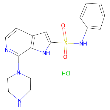 Cl.O=S(=O)(Nc1ccccc1)c1cc2ccnc(N3CCNCC3)c2[nH]1